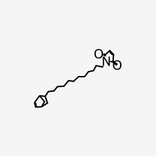 O=C1C=CC(=O)N1CCCCCCCCCCCCC1CC2C=CC1C2